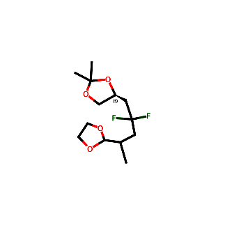 CC(CC(F)(F)C[C@H]1COC(C)(C)O1)C1OCCO1